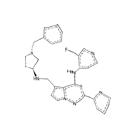 Fc1cnccc1Nc1nc(-c2ccccn2)nn2ccc(CN[C@H]3CCN(Cc4ccccc4)C3)c12